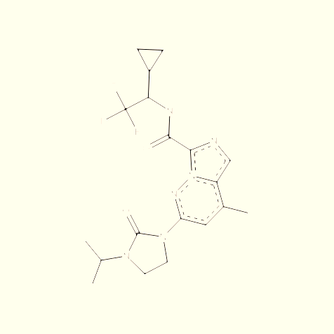 Cc1cc(N2CCN(C(C)C)C2=O)nn2c(C(=O)NC(C3CC3)C(F)(F)F)ncc12